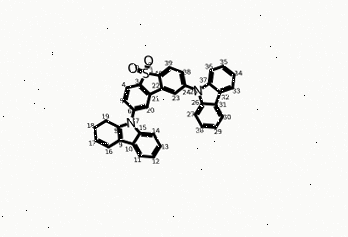 O=S1(=O)c2ccc(-n3c4c(c5ccccc53)C=CCC4)cc2-c2cc(-n3c4ccccc4c4ccccc43)ccc21